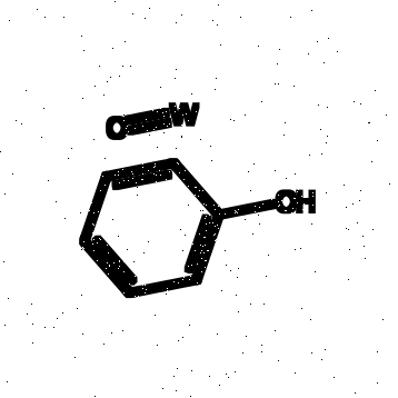 Oc1ccccc1.[O]=[W]